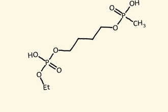 CCOP(=O)(O)OCCCCOP(C)(=O)O